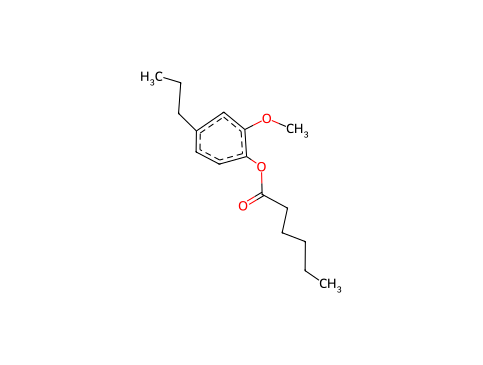 CCCCCC(=O)Oc1ccc(CCC)cc1OC